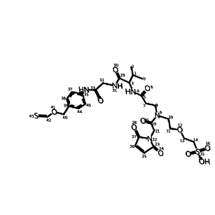 CC(C)C(NC(=O)CCN(CCOCCS(=O)(=O)O)C(=O)CN1C(=O)C=CC1=O)C(=O)NCC(=O)Nc1ccc(COC=S)cc1